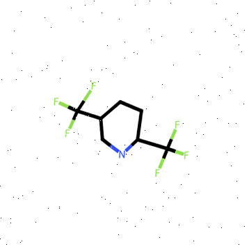 FC(F)(F)C1CCC(C(F)(F)F)[N]C1